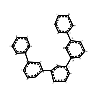 c1ccc(-c2cccc(-c3cccc(-c4cccc(-c5ccccc5)c4)c3)c2)cc1